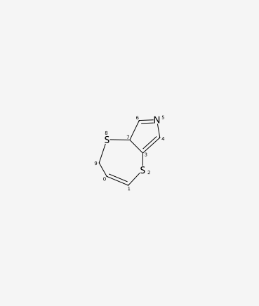 C1=CSC2=CN=CC2SC1